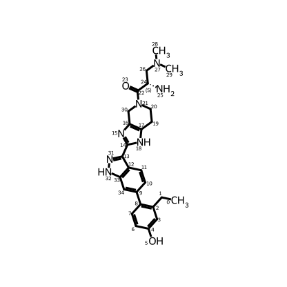 CCc1cc(O)ccc1-c1ccc2c(-c3nc4c([nH]3)CCN(C(=O)[C@@H](N)CN(C)C)C4)n[nH]c2c1